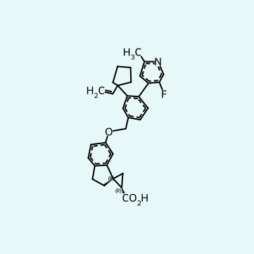 C=CC1(c2cc(COc3ccc4c(c3)[C@]3(CC4)C[C@H]3C(=O)O)ccc2-c2cc(C)ncc2F)CCCC1